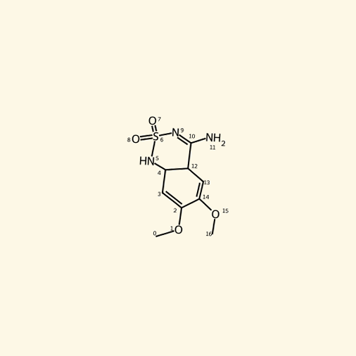 COC1=CC2NS(=O)(=O)N=C(N)C2C=C1OC